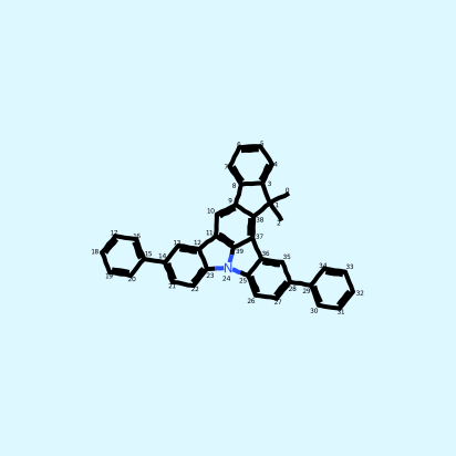 CC1(C)c2ccccc2-c2cc3c4cc(-c5ccccc5)ccc4n4c5ccc(-c6ccccc6)cc5c(c21)c34